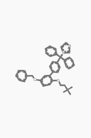 CC(C)(C)CCOc1ccc(OCc2ccccc2)cc1-c1ccc(C(c2ccccc2)(c2ccccc2)n2ccnc2)cc1